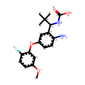 COc1ccc(F)c(Oc2ccc(N)c(C(NC(=O)O)C(C)(C)C)c2)c1